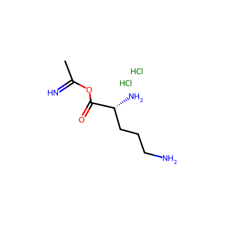 CC(=N)OC(=O)[C@H](N)CCCN.Cl.Cl